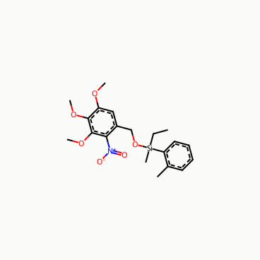 CC[Si](C)(OCc1cc(OC)c(OC)c(OC)c1[N+](=O)[O-])c1ccccc1C